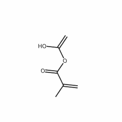 C=C(O)OC(=O)C(=C)C